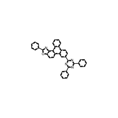 c1ccc(-c2nc(-c3ccccc3)nc(-c3ccc4c5ccccc5c5c(ccc6oc(-c7ccccc7)nc65)c4c3)n2)cc1